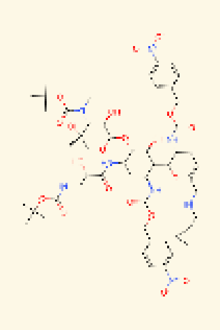 CN(C(=O)OC(C)(C)C)[C@@H]1[C@@H](O)[C@@H](O[C@H]2[C@H](NC(=O)[C@@H](O)CNC(=O)OC(C)(C)C)C[C@H](NC(=O)OCc3ccc([N+](=O)[O-])cc3)C([C@H]3OC(CNCC4CC4)=CC[C@H]3NC(=O)OCc3ccc([N+](=O)[O-])cc3)[C@@H]2O)OC[C@]1(C)O